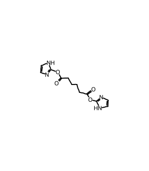 O=C(CCCCC(=O)Oc1ncc[nH]1)Oc1ncc[nH]1